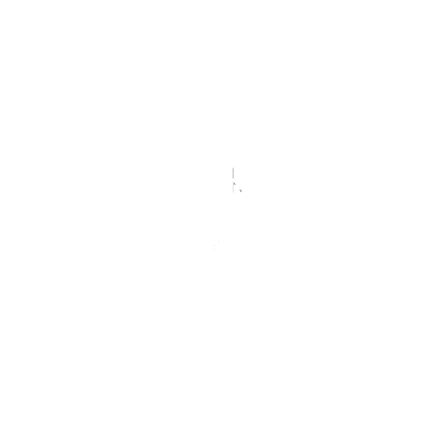 C=CCCC(=O)NCCC